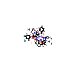 CC(=O)N1C[C@H](Oc2ccc(F)c(F)c2)[C@@H]2[C@H]1CCN2C(=O)[C@@H](NC(=O)[C@H](C)N(C)C(=O)OCc1ccccc1)C(C)(C)C